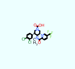 CN(C(=O)c1ccc(C(F)(F)F)cn1)[C@@H]1CCN(C(=O)O)C[C@H]1c1ccc(Cl)c(Cl)c1